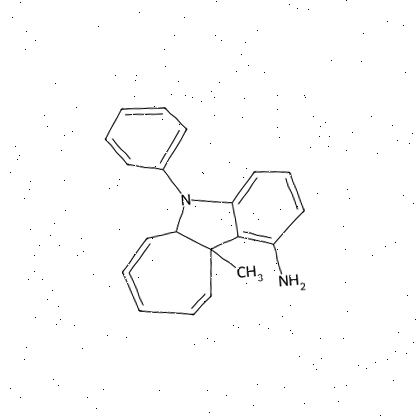 CC12C=CC=C=CC1N(c1ccccc1)c1cccc(N)c12